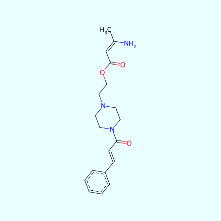 CC(N)=CC(=O)OCCN1CCN(C(=O)C=Cc2ccccc2)CC1